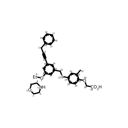 C1COCCN1.CCOc1cc(C#CCc2ccccc2)cc(CSc2ccc(OCC(=O)O)c(C)c2)c1